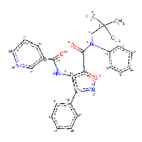 CC(C)(C)CN(C(=O)c1onc(-c2ccccc2)c1NC(=O)c1cccnc1)c1ccccc1